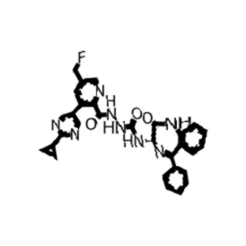 O=C(NNC(=O)c1ncc(CF)cc1-c1cnc(C2CC2)nc1)N[C@H]1N=C(c2ccccc2)c2ccccc2NC1=O